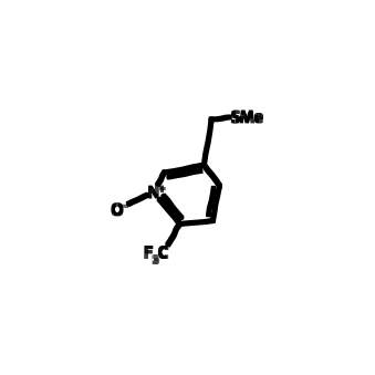 CSCc1ccc(C(F)(F)F)[n+]([O-])c1